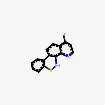 CCc1ccnc2c3c(ccc12)-c1ccccc1SN3